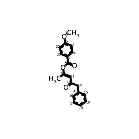 COc1ccc(C(=O)OC(C)=CC(=O)Cc2ccccc2)cc1